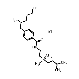 CC(C)CCCC(C)Cc1ccc(C(=O)NCC[N+](C)(C)CCN(C)C)cc1.Cl